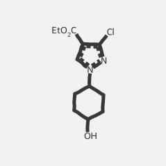 CCOC(=O)c1cn(C2CCC(O)CC2)nc1Cl